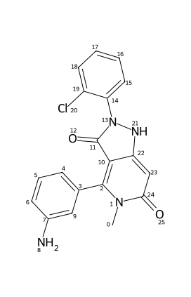 Cn1c(-c2cccc(N)c2)c2c(=O)n(-c3ccccc3Cl)[nH]c2cc1=O